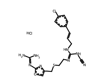 Cl.N#CN/C(=N/CCSCc1coc(N=C(N)N)n1)NC/C=C/c1ccc(Cl)cc1